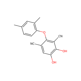 Cc1ccc(Oc2c(C#N)cc(O)c(O)c2C#N)c(C)c1